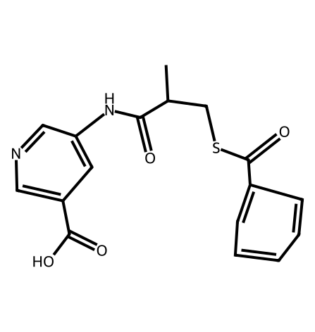 CC(CSC(=O)c1ccccc1)C(=O)Nc1cncc(C(=O)O)c1